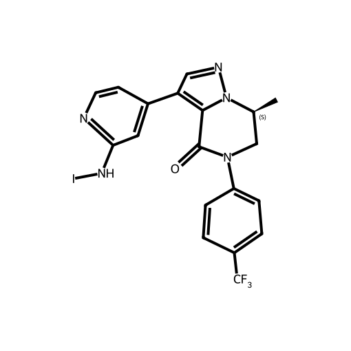 C[C@H]1CN(c2ccc(C(F)(F)F)cc2)C(=O)c2c(-c3ccnc(NI)c3)cnn21